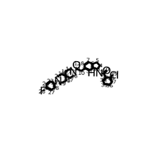 O=C(NC1CCc2ccc(CC(=O)N3CCC4(CC3)CCN(c3ccc(F)cc3)CC4)cc21)c1ccccc1Cl